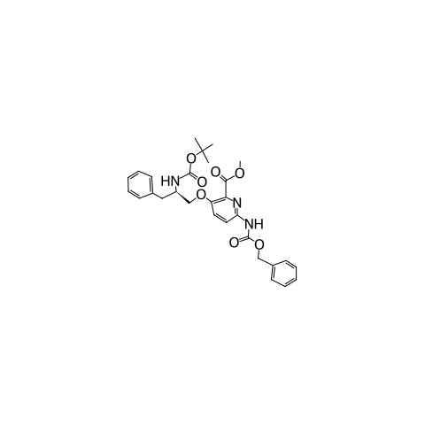 COC(=O)c1nc(NC(=O)OCc2ccccc2)ccc1OC[C@@H](Cc1ccccc1)NC(=O)OC(C)(C)C